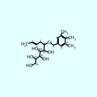 CC=CCC(OCc1cc(C)c(C)c(C)c1)C(O)C(O)C(O)C(O)CO